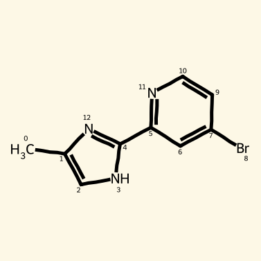 Cc1c[nH]c(-c2cc(Br)ccn2)n1